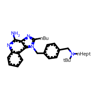 CCCCCCCN(Cc1ccc(Cn2c(CCCC)nc3c(N)nc4ccccc4c32)cc1)C(C)(C)C